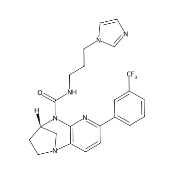 O=C(NCCCn1ccnc1)N1c2nc(-c3cccc(C(F)(F)F)c3)ccc2N2CC[C@H]1C2